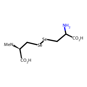 CN[C@@H](C[Se][Se]CC(N)C(=O)O)C(=O)O